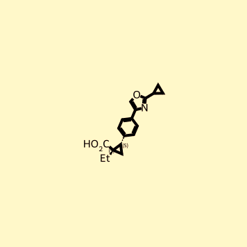 CC[C@]1(C(=O)O)C[C@H]1c1ccc(-c2coc(C3CC3)n2)cc1